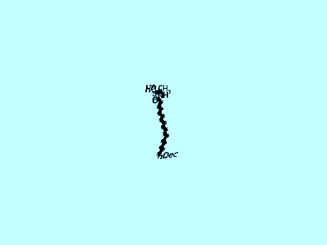 CCCCCCCCCCCCCCCCCCCCCCCCCCC(=O)NC(C)CO